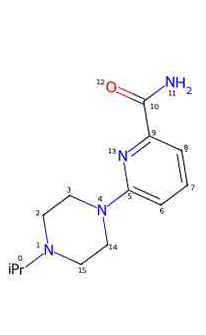 CC(C)N1CCN(c2cc[c]c(C(N)=O)n2)CC1